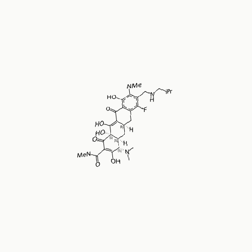 CNC(=O)C1=C(O)[C@@H](N(C)C)[C@@H]2C[C@@H]3Cc4c(F)c(CNCC(C)C)c(NC)c(O)c4C(=O)C3=C(O)[C@]2(O)C1=O